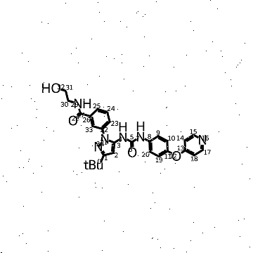 CC(C)(C)c1cc(NC(=O)Nc2ccc(Oc3ccncc3)cc2)n(-c2cccc(C(=O)NCCO)c2)n1